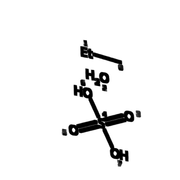 CCC.O.O=S(=O)(O)O